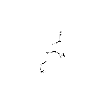 CCCCCCCC(N)CC[O]